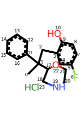 CC(Cc1cc(F)ccc1O)(c1ccccc1)C1CNCCO1.Cl